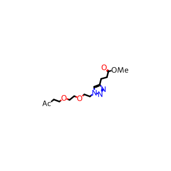 COC(=O)CCc1cn(CCOCCOCCC(C)=O)nn1